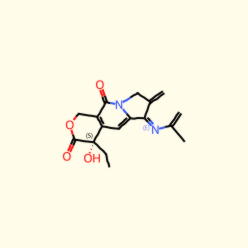 C=C(C)/N=C1\C(=C)Cn2c1cc1c(c2=O)COC(=O)[C@]1(O)CC